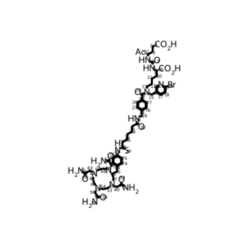 CC(=O)[C@@H](CCC(=O)O)NC(=O)N[C@H](CCCCN(Cc1ccc(Br)nc1)C(=O)c1ccc(CNC(=O)CCCCCC(=S)Nc2ccc(CC3CN(CC(N)=O)CCN(CC(N)=O)CCN(CC(N)=O)CCN3CC(N)=O)cc2)cc1)C(=O)O